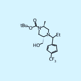 CCC(c1ccc(C(F)(F)F)cc1)N1C[C@H](C)N(C(=O)OC(C)(C)C)C[C@H]1CO